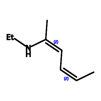 C/C=C\C=C(\C)NCC